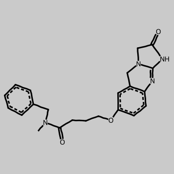 CN(Cc1ccccc1)C(=O)CCCOc1ccc2c(c1)CN1CC(=O)NC1=N2